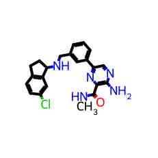 CNC(=O)c1nc(-c2cccc(CNC3CCc4ccc(Cl)cc43)c2)cnc1N